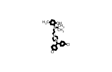 Cc1ccc(O)c(N(CCCN2CCN(C(c3ccc(Cl)cc3)c3ccc(Cl)cc3)CC2)C(C)C)c1